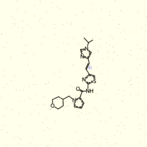 CC(C)n1cnc(/C=C/c2csc(NC(=O)c3cccn3CC3CCOCC3)n2)c1